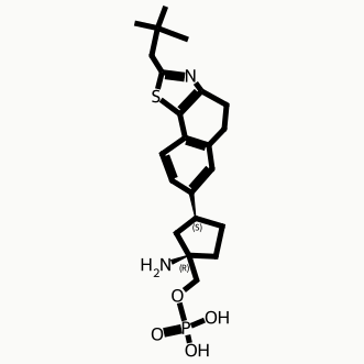 CC(C)(C)Cc1nc2c(s1)-c1ccc([C@H]3CC[C@](N)(COP(=O)(O)O)C3)cc1CC2